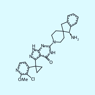 COc1nccc(C2(c3n[nH]c4nc(N5CCC6(CC5)Cc5ccccc5[C@H]6N)[nH]c(=O)c34)CC2)c1Cl